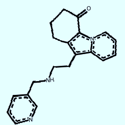 O=C1CCCc2c(CCNCc3cccnc3)c3ccccn3c21